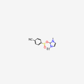 CCN1C=CN(C)C1OS(=O)c1ccc(C#N)cc1